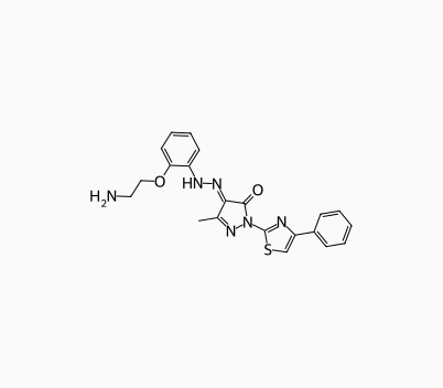 CC1=NN(c2nc(-c3ccccc3)cs2)C(=O)/C1=N/Nc1ccccc1OCCN